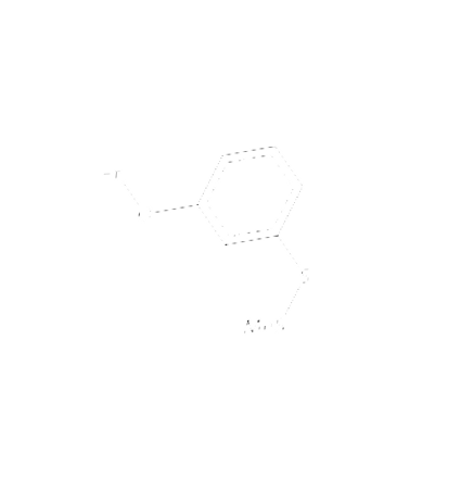 CCOc1cccc(SSC)c1